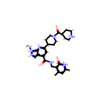 Cc1cc(C)c(CNC(=O)c2cc(C3CCN(C(=O)C4CCNCC4)CC3)nc3c2cnn3C(C)C)c(=O)[nH]1